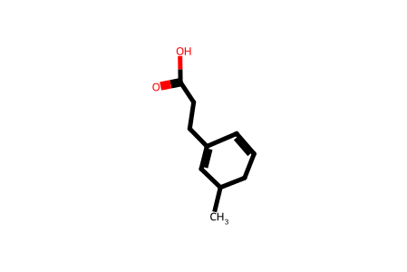 CC1C=C(CCC(=O)O)C=CC1